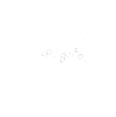 CCCCc1cc(NC(=O)Nc2ccc(OCC(C)(C)c3ccnc(NC(=O)COC)c3)c3ccccc23)n(-c2ccc(C)cc2)n1